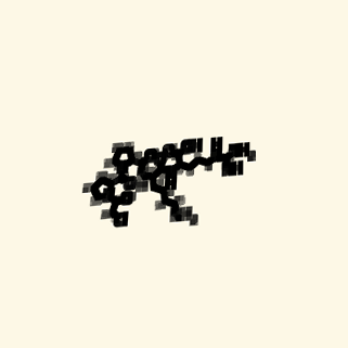 N=C(N)NCCCC(NC(=O)C(CCCCN)NC(=O)[C@@H]1CCCN1C(=O)[C@@H]1CCCN1C(=O)CCl)C(=O)O